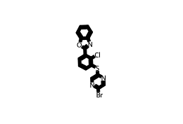 Clc1c(Sc2cnc(Br)cn2)cccc1-c1nc2ccccc2o1